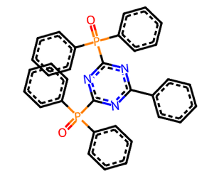 O=P(c1ccccc1)(c1ccccc1)c1nc(-c2ccccc2)nc(P(=O)(c2ccccc2)c2ccccc2)n1